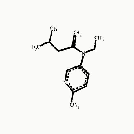 C=C(CC(C)O)N(CC)c1ccc(C)nc1